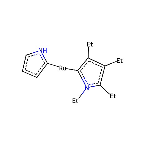 CCc1c(CC)[c]([Ru][c]2ccc[nH]2)n(CC)c1CC